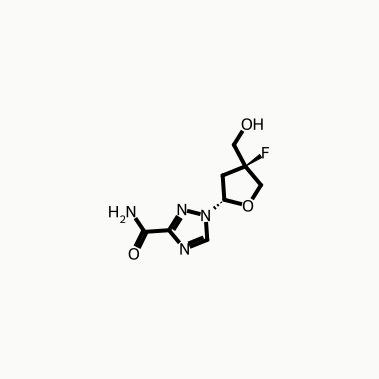 NC(=O)c1ncn([C@@H]2C[C@](F)(CO)CO2)n1